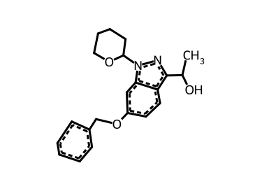 CC(O)c1nn(C2CCCCO2)c2cc(OCc3ccccc3)ccc12